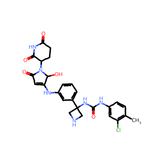 Cc1ccc(NC(=O)NC2(c3cccc(NC4=CC(=O)N(C5CCC(=O)NC5=O)C4O)c3)CNC2)cc1Cl